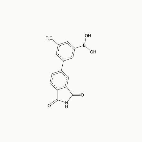 O=C1NC(=O)c2cc(-c3cc(B(O)O)cc(C(F)(F)F)c3)ccc21